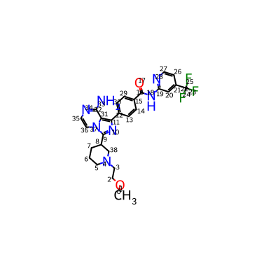 COCCN1CCCC(c2nc(-c3ccc(C(=O)Nc4cc(C(F)(F)F)ccn4)cc3)c3c(N)nccn23)C1